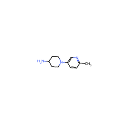 Cc1ccc(N2CCC(N)CC2)cn1